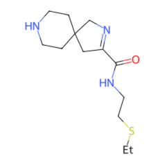 CCSCCNC(=O)C1=NCC2(CCNCC2)C1